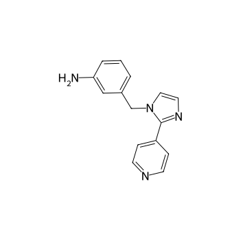 Nc1cccc(Cn2ccnc2-c2ccncc2)c1